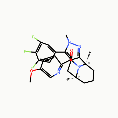 COc1ccc(C(=O)N2[C@H]3CCC[C@@H]2c2nn(C)c(-c4cc(F)c(F)c(F)c4)c2C3)nc1